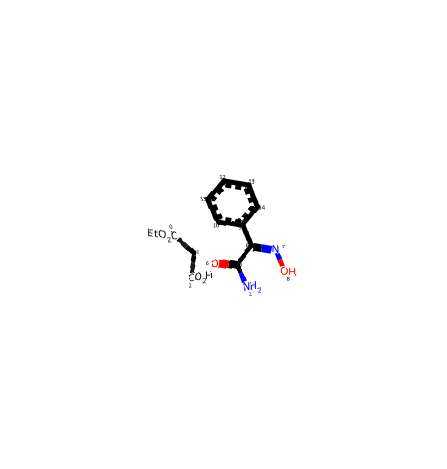 CCOC(=O)CC(=O)O.NC(=O)C(=NO)c1ccccc1